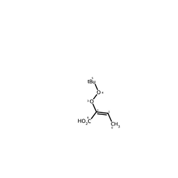 CC=C(OOC(C)(C)C)C(=O)O